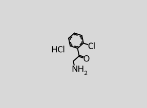 Cl.NCC(=O)c1ccccc1Cl